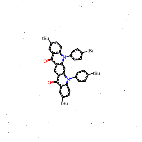 CC(C)(C)c1ccc(-n2c3ccc(C(C)(C)C)cc3c(=O)c3cc4c(=O)c5cc(C(C)(C)C)ccc5n(-c5ccc(C(C)(C)C)cc5)c4cc32)cc1